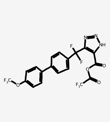 O=C(OC(=O)C(F)(F)F)c1[nH]nnc1C(F)(F)c1ccc(-c2ccc(OC(F)(F)F)cc2)cc1